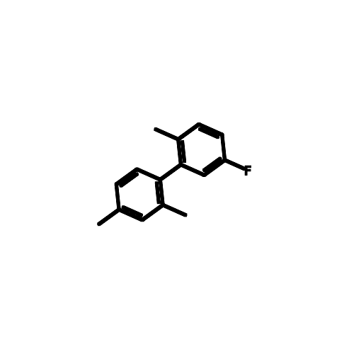 Cc1ccc(-c2cc(F)ccc2C)c(C)c1